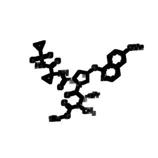 CCC[C@@H](C(=O)N1C[C@H](Oc2nccc3cc(OC)ccc23)C[C@H]1C(=O)NC1(C(=O)NS(=O)(=O)C2CC2)CC1)N(C)C(=O)OC(C)(C)C